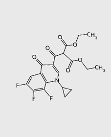 CCOC(=O)C(C(=O)OCC)C(=O)c1cn(C2CC2)c2c(F)c(F)c(F)cc2c1=O